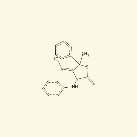 CC1(c2ccccc2)SC(=S)N(Nc2ccccc2)/C1=N/O